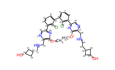 COc1nc(-c2cccc(-c3cccc(-c4cnc(CNC[C@H]5C[C@@H](O)C5)c(OC)n4)c3Cl)c2Cl)cnc1CNCCC1CC(O)C1